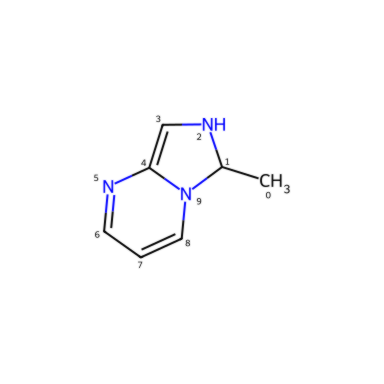 CC1NC=C2N=CC=CN21